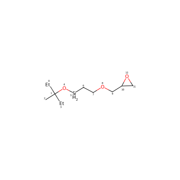 CCC(C)(CC)O[SiH2]CCOCC1CO1